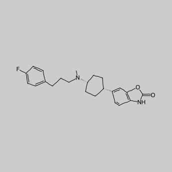 CN(CCCc1ccc(F)cc1)[C@H]1CC[C@@H](c2ccc3[nH]c(=O)oc3c2)CC1